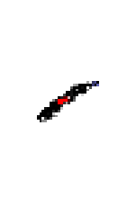 C/C=C/CCC1CCC2CC(c3ccc(COc4ccc(-c5ccc(OCC)c(F)c5F)c(F)c4F)cc3)CCC2C1